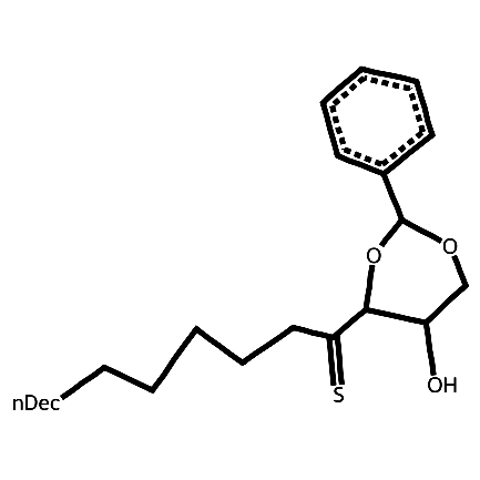 CCCCCCCCCCCCCCCC(=S)C1OC(c2ccccc2)OCC1O